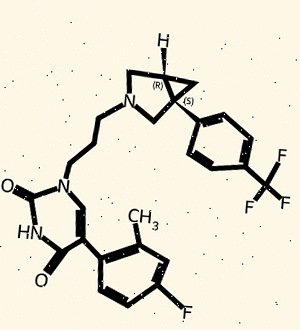 Cc1cc(F)ccc1-c1cn(CCCN2C[C@@H]3C[C@]3(c3ccc(C(F)(F)F)cc3)C2)c(=O)[nH]c1=O